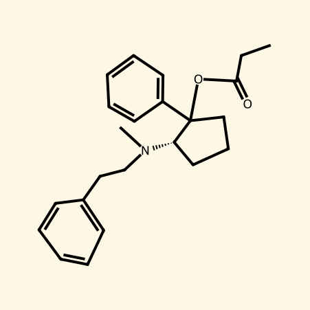 CCC(=O)OC1(c2ccccc2)CCC[C@@H]1N(C)CCc1ccccc1